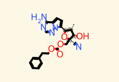 C[C@H]1[C@H](c2ccc3c(N)ncnn23)O[C@](C#N)(COC(=O)OCCc2ccccc2)[C@H]1O